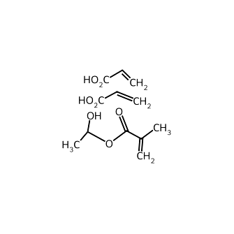 C=C(C)C(=O)OC(C)O.C=CC(=O)O.C=CC(=O)O